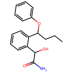 CCCC(Oc1ccccc1)c1ccccc1C(O)C(N)=O